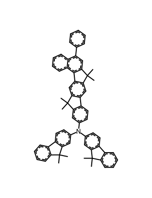 CC1(C)c2ccccc2-c2ccc(N(c3ccc4c(c3)C(C)(C)c3ccccc3-4)c3ccc4c(c3)C(C)(C)c3cc5c(cc3-4)C(C)(C)c3cc(-c4ccccc4)c4ccccc4c3-5)cc21